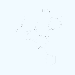 NC(=O)c1sc2nc(-c3cccs3)nc(-c3cccc(N)c3)c2c1N